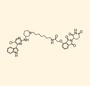 O=C(COc1cccc2c1C(=O)N(C1CCC(=O)NC1=O)C2=O)NCCCCCCCN1CCCC(Nc2ncc(Cl)c(-c3c[nH]c4ccccc34)n2)C1